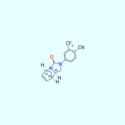 N#Cc1ccc(N2C[C@H]3[C@H]4C=C[C@H](C4)N3C2=O)cc1C(F)(F)F